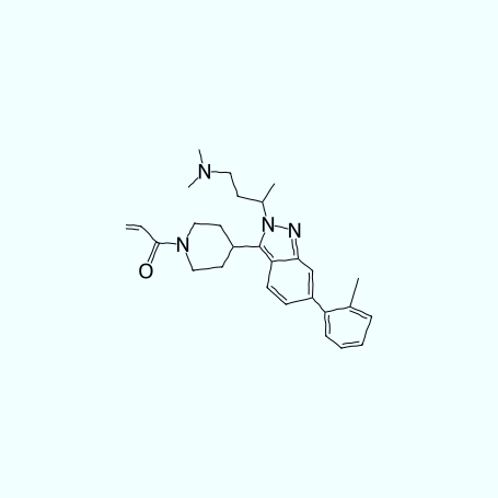 C=CC(=O)N1CCC(c2c3ccc(-c4ccccc4C)cc3nn2C(C)CCN(C)C)CC1